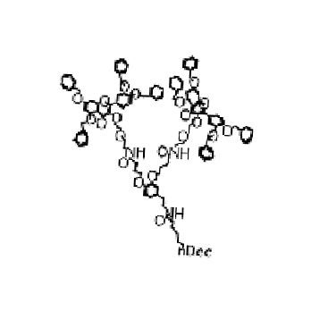 CCCCCCCCCCCCCCCC(=O)NCCc1ccc(OCCCC(=O)NCCOCCOc2c(-c3ccc(OCc4ccccc4)c(OCc4ccccc4)c3)oc3cc(OCc4ccccc4)cc(OCc4ccccc4)c3c2=O)c(OCCCC(=O)NCCOCCOc2c(-c3ccc(OCc4ccccc4)c(OCc4ccccc4)c3)oc3cc(OCc4ccccc4)cc(OCc4ccccc4)c3c2=O)c1